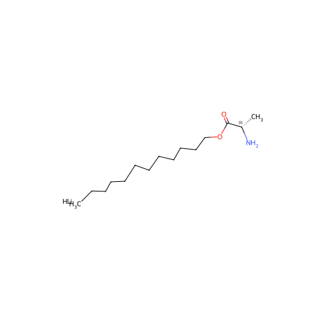 CCCCCCCCCCCCOC(=O)[C@H](C)N.[LiH]